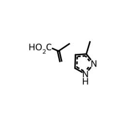 C=C(C)C(=O)O.Cc1cc[nH]n1